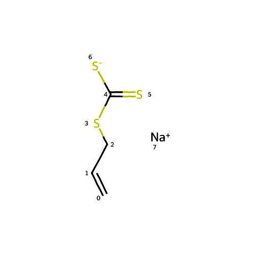 C=CCSC(=S)[S-].[Na+]